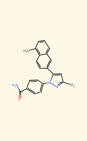 Cc1cccc2cc(-c3cc(C(F)(F)F)nn3-c3ccc(C(N)=O)cc3)ccc12